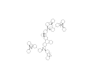 c1ccc(-n2c3ccccc3c3ccc(-c4cccc(N(c5ccc6sc7ccccc7c6c5)c5ccc6c(c5)c5ccccc5c5cc7c(cc65)oc5ccc(N(c6cccc(-c8ccc9c%10ccccc%10n(-c%10ccccc%10)c9c8)c6)c6cccc8c6sc6ccccc68)cc57)c4)cc32)cc1